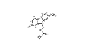 CC(=O)OCC1c2cc(C)ccc2-c2ccc(I)cc21